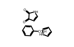 O=C(O)c1ccccc1.O=C1C=CNC1=O.c1cc[nH]c1